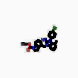 Cc1cccc2c1n(-c1ccc(Br)cc1)c(=N)n2Cc1cccc2c1ccn2C(=O)OC(C)(C)C